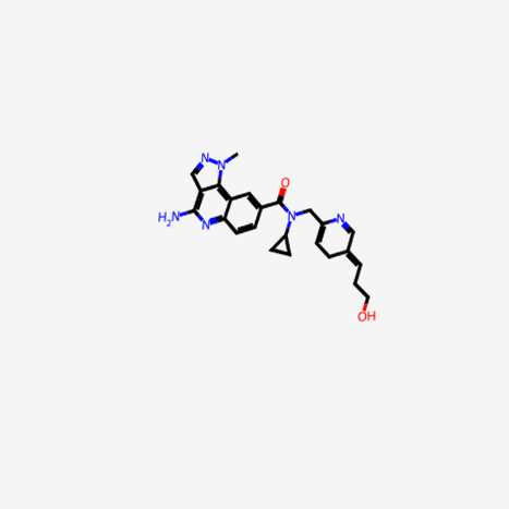 Cn1ncc2c(N)nc3ccc(C(=O)N(CC4=CCC(=CCCO)C=N4)C4CC4)cc3c21